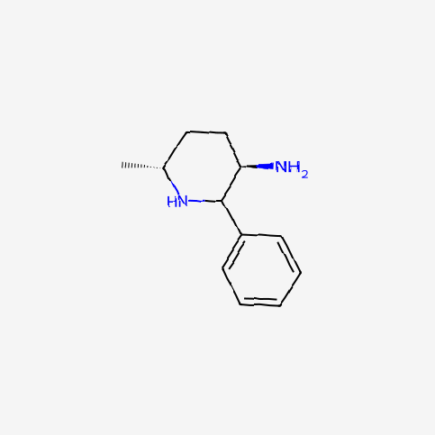 C[C@@H]1CC[C@@H](N)C(c2ccccc2)N1